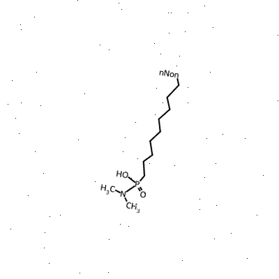 CCCCCCCCCCCCCCCCCCP(=O)(O)N(C)C